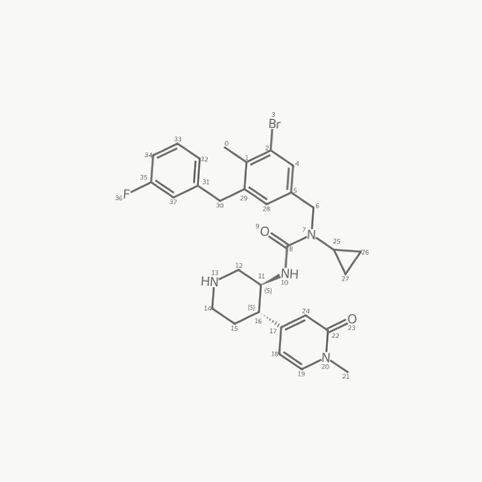 Cc1c(Br)cc(CN(C(=O)N[C@@H]2CNCC[C@H]2c2ccn(C)c(=O)c2)C2CC2)cc1Cc1cccc(F)c1